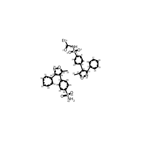 CCC(=O)NS(=O)(=O)c1ccc(-c2c(-c3ccccc3)noc2C)cc1.Cc1onc(-c2ccccc2)c1-c1ccc(S(N)(=O)=O)cc1